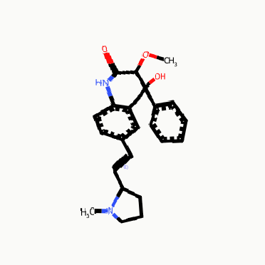 COC1C(=O)Nc2ccc(/C=C/C3CCCN3C)cc2C1(O)c1ccccc1